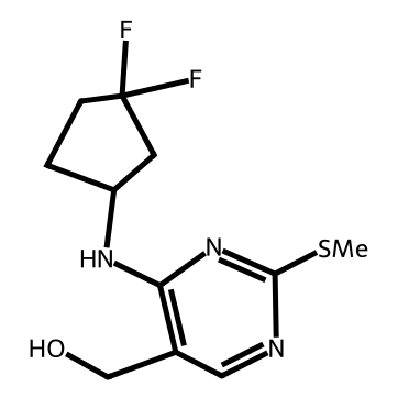 CSc1ncc(CO)c(NC2CCC(F)(F)C2)n1